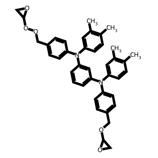 Cc1ccc(N(c2ccc(COOC3CO3)cc2)c2cccc(N(c3ccc(COC4CO4)cc3)c3ccc(C)c(C)c3)c2)cc1C